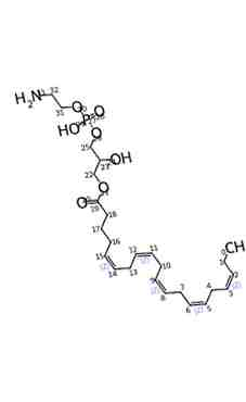 CC/C=C\C/C=C\C/C=C\C/C=C\C/C=C\CCCC(=O)OCC(O)COP(=O)(O)OCCN